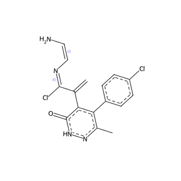 C=C(/C(Cl)=N\C=C/N)c1c(-c2ccc(Cl)cc2)c(C)n[nH]c1=O